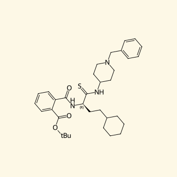 CC(C)(C)OC(=O)c1ccccc1C(=O)N[C@H](CCC1CCCCC1)C(=S)NC1CCN(Cc2ccccc2)CC1